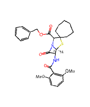 COc1cccc(OC)c1C(=O)NC1C(=O)N2C(C(=O)OCc3ccccc3)C3(CCCCCC3)S[C@@H]12